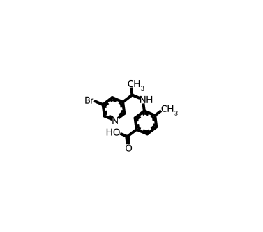 Cc1ccc(C(=O)O)cc1NC(C)c1cncc(Br)c1